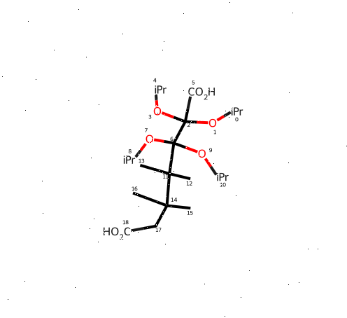 CC(C)OC(OC(C)C)(C(=O)O)C(OC(C)C)(OC(C)C)C(C)(C)C(C)(C)CC(=O)O